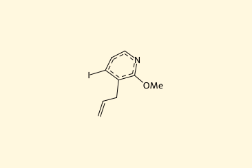 C=CCc1c(I)ccnc1OC